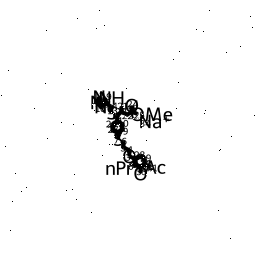 CCCc1c(OCCCSc2ccc(C(SCc3nnn[nH]3)C(C)CC(=O)OC)cc2)ccc(C(C)=O)c1[O-].[Na+]